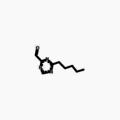 CCCCCc1ncnc(C=O)n1